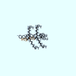 CC(C)CCCCCCC(CS)(CCCCCCC(C)C)C(=O)[O-].CC(C)CCCCCCC(CS)(CCCCCCC(C)C)C(=O)[O-].CCC[CH2][Sn+2][CH2]CCC